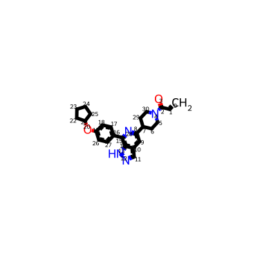 C=CC(=O)N1CCC(c2cc3cn[nH]c3c(-c3ccc(OC4CCCC4)cc3)n2)CC1